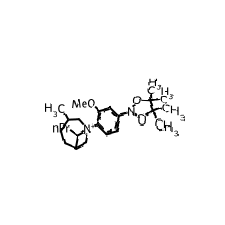 CCCC1C2CCC(C)C[N+]1(c1ccc(N3OC(C)(C)C(C)(C)O3)cc1OC)C2